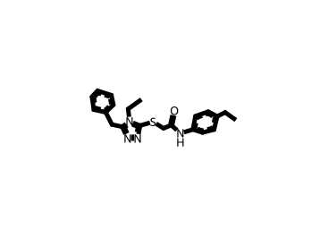 CCc1ccc(NC(=O)CSc2nnc(Cc3ccccc3)n2CC)cc1